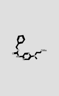 COCCN(C)c1cnc(NC(=O)OCc2ccccc2)cn1